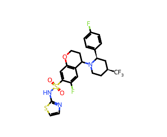 O=S(=O)(Nc1nccs1)c1cc2c(cc1F)C(N1CC[C@H](C(F)(F)F)C[C@@H]1c1ccc(F)cc1)CCO2